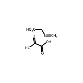 C=NCC(=O)O.O=C(O)C(=O)O